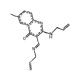 C=CCN=Cc1c(NCC=C)nc2ccc(C)cn2c1=O